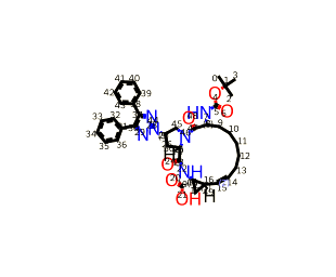 CC(C)(C)OC(=O)N[C@H]1CCCCC/C=C\[C@@H]2C[C@@]2(C(=O)O)NC(=O)[C@@H]2C[C@H](n3nc(-c4ccccc4)c(-c4ccccc4)n3)CN2C1=O